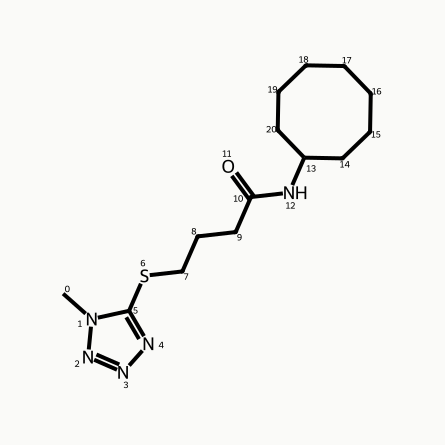 Cn1nnnc1SCCCC(=O)NC1CCCCCCC1